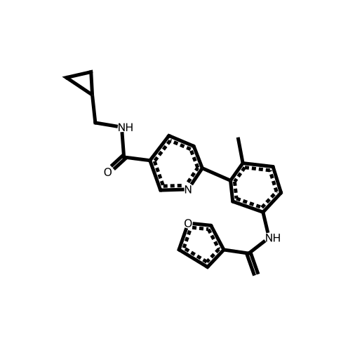 C=C(Nc1ccc(C)c(-c2ccc(C(=O)NCC3CC3)cn2)c1)c1ccoc1